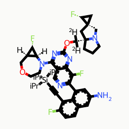 [2H]C([2H])(Oc1nc(N2CCOC[C@H]3[C@H](F)[C@H]32)c2cnc(-c3cc(N)cc4ccc(F)c(C#C[Si](C(C)C)(C(C)C)C(C)C)c34)c(F)c2n1)[C@@]12CCCN1C[C@]1(C[C@H]1F)C2